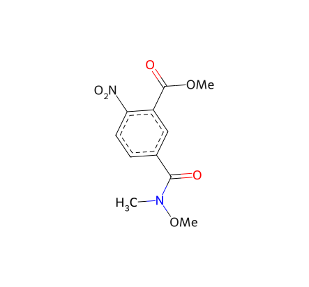 COC(=O)c1cc(C(=O)N(C)OC)ccc1[N+](=O)[O-]